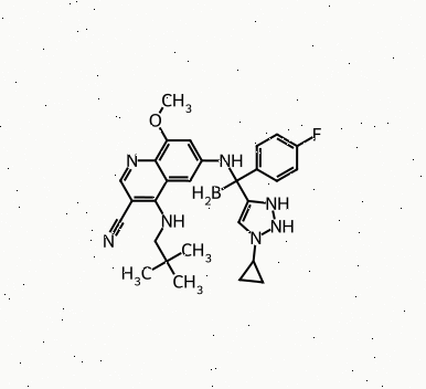 BC(Nc1cc(OC)c2ncc(C#N)c(NCC(C)(C)C)c2c1)(C1=CN(C2CC2)NN1)c1ccc(F)cc1